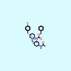 CC(=O)N(C)[C@@H]1CC[C@@H](CN2CCC[C@@H](Cc3ccc(F)cc3)C2)[C@H](NC(=O)OCc2ccccc2)C1